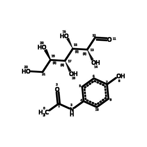 CC(=O)Nc1ccc(O)cc1.O=C[C@H](O)[C@@H](O)[C@H](O)[C@H](O)CO